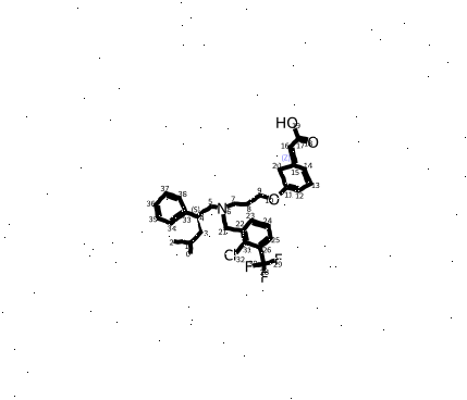 CC(C)C[C@H](CN(CCCOC1=CC=C/C(=C\C(=O)O)C1)Cc1cccc(C(F)(F)F)c1Cl)c1ccccc1